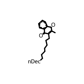 CCCCCCCCCCCCCCCCCC1=C(C)C(=O)c2ccccc2C1=O